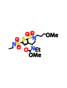 C/C=N/S(=O)(=O)c1cc2c(s1)S(=O)(=O)N(CCCOC)C[C@@H]2N(CC)C(=O)OC